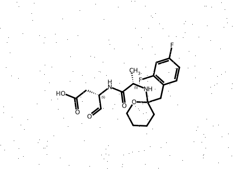 C[C@H](NC1(Cc2ccc(F)cc2F)CCCCO1)C(=O)N[C@H](C=O)CC(=O)O